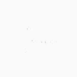 [Ce].[Cu].[O]=[Co]=[S]